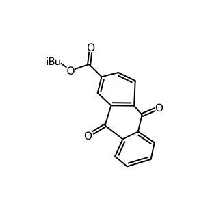 CCC(C)OC(=O)c1ccc2c(c1)C(=O)c1ccccc1C2=O